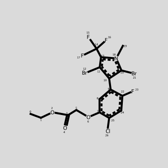 CCOC(=O)COc1cc(-c2c(Br)c(C(F)(F)F)n(C)c2Br)c(F)cc1Cl